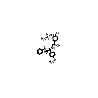 COc1ccc(C(C)(NC[C@@H](O)c2ccc(O)c(NS(C)(=O)=O)c2)C(=O)Nc2ccccc2)cc1